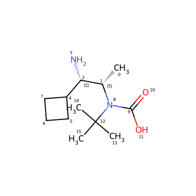 C[C@@H]([C@@H](N)C1CCC1)N(C(=O)O)C(C)(C)C